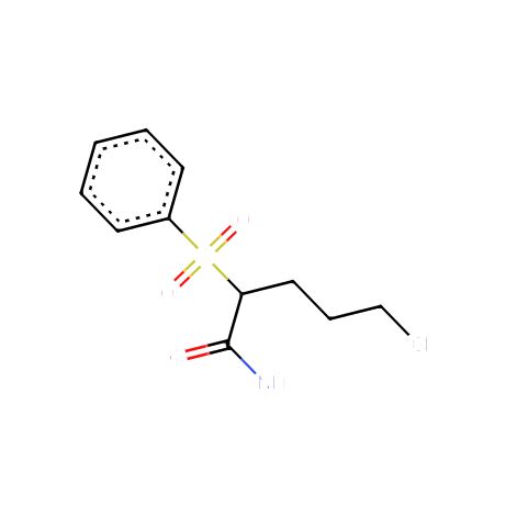 CCCCC(C(N)=O)S(=O)(=O)c1ccccc1